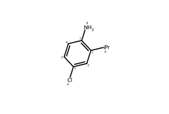 CC(C)c1cc(Cl)ccc1N